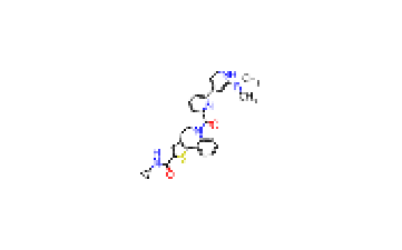 CN(C)C1=CC(c2cccc(C(=O)N3CCc4cc(C(=O)NC5CC5)sc4-c4ccccc43)n2)=CCN1